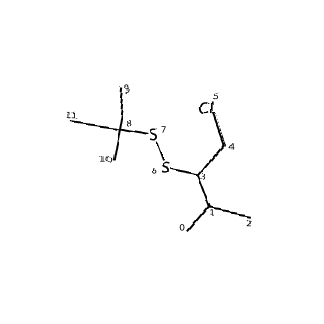 CC(C)C(CCl)SSC(C)(C)C